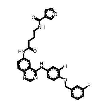 O=C(CCCNC(=O)c1ccoc1)Nc1ccc2ncnc(Nc3ccc(OCc4cccc(F)c4)c(Cl)c3)c2c1